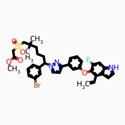 C=Cc1c(Oc2cccc(-c3ccn(C(CCCC(C)(C)CS(=O)(=O)CC(=O)OC)c4cccc(Br)c4)n3)c2)c(F)cc2[nH]ccc12